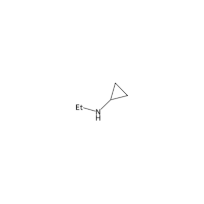 [CH2]CNC1CC1